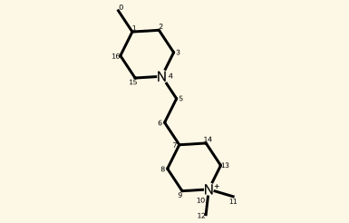 CC1CCN(CCC2CC[N+](C)(C)CC2)CC1